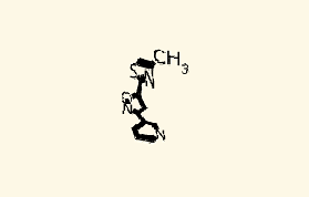 Cc1csc(-c2cc(-c3cccnc3)no2)n1